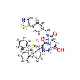 Cc1ncsc1-c1ccc(CNC(=O)[C@@H]2C[C@@H](O)CN2C(=O)[C@@H](N)C(C)(C)SC(c2ccccc2)(c2ccccc2)c2ccccc2)cc1F